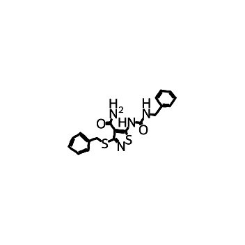 NC(=O)c1c(SCc2ccccc2)nsc1NC(=O)NCc1ccccc1